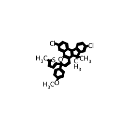 COc1ccc(C2(c3ccc(C)s3)C=Cc3c4c(c5ccc(Cl)cc5c3O2)-c2ccc(Cl)cc2C4(C)C)cc1